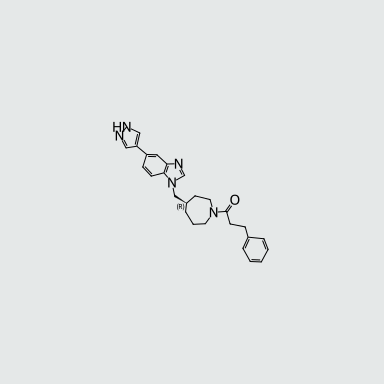 O=C(CCc1ccccc1)N1CCC[C@@H](Cn2cnc3cc(-c4cn[nH]c4)ccc32)CC1